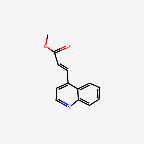 COC(=O)/C=C/c1ccnc2ccccc12